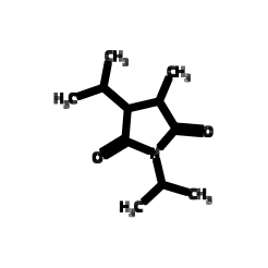 CC(C)C1C(=O)N(C(C)C)C(=O)C1C